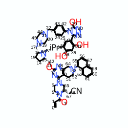 C=CC(=O)N1CCN(c2nc(OC[C@@H]3CC[C@H](CN4CCN(Cc5ccc(-n6c(O)nnc6-c6cc(C(C)C)c(O)cc6O)cc5)CC4)N3C)nc3c2CCN(c2cccc4ccccc24)C3)C[C@@H]1CC#N